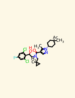 Cc1c(C(=O)N(CC(O)c2c(Cl)cc(F)cc2Cl)CC2(C)CC2)cnn1[C@H]1CC[C@](C)(C(C)=O)CC1